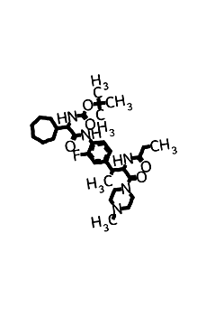 CCC(=O)NC(C(=O)N1CCN(C)CC1)C(C)c1ccc(NC(=O)C(NC(=O)OC(C)(C)C)C2CCCCCC2)c(F)c1